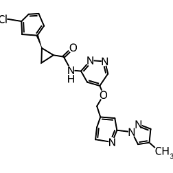 Cc1cnn(-c2cc(COc3cnnc(NC(=O)C4C[C@H]4c4cccc(Cl)c4)c3)ccn2)c1